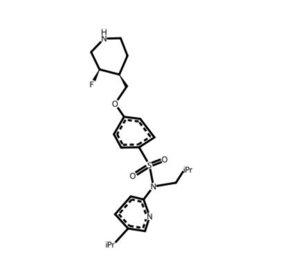 CC(C)CN(c1ccc(C(C)C)cn1)S(=O)(=O)c1ccc(OC[C@@H]2CCNC[C@@H]2F)cc1